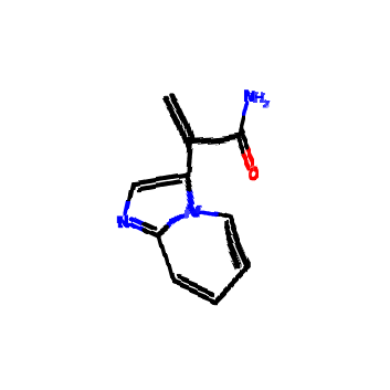 C=C(C(N)=O)c1cnc2ccccn12